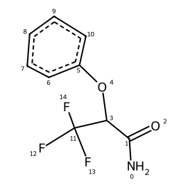 NC(=O)C(Oc1ccccc1)C(F)(F)F